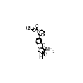 CC(C)(C)OC(=O)N1CCOC(c2cccc(Oc3nc[nH]c(=O)c3N)c2)C1